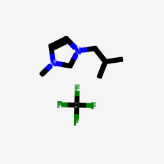 CC(C)CN1C=CN(C)C1.F[B-](F)(F)F